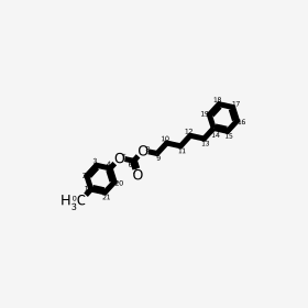 Cc1ccc(OC(=O)OCCCCCc2ccccc2)cc1